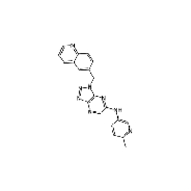 Cc1ccc(Nc2cnc3nnn(Cc4ccc5ncccc5c4)c3n2)cn1